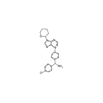 NC(c1ccc(Cl)cc1)c1ccc(-c2ncnc3c2ncn3C2CCCCO2)cc1